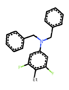 CCc1c(F)cc(N(Cc2ccccc2)Cc2ccccc2)cc1F